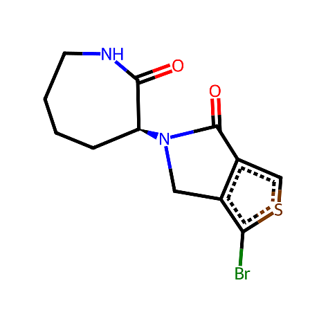 O=C1NCCCC[C@@H]1N1Cc2c(csc2Br)C1=O